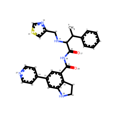 CC(c1ccccc1)C(NCc1cscn1)C(=O)NC(=O)c1cc(-c2ccncc2)cc2c1CCN2